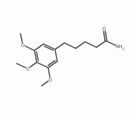 COc1cc(CCCCC(N)=O)cc(OC)c1OC